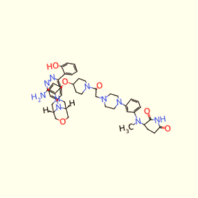 CN(c1cccc(N2CCN(CC(=O)N3CCC(Oc4cccc(N5[C@@H]6COC[C@H]5CN(c5cc(-c7ccccc7O)nnc5N)C6)c4)CC3)CC2)c1)C1CCC(=O)NC1=O